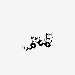 COc1nc(-c2cccc3c2OC(CN)CO3)ccc1Nc1ccc(CN)cc1